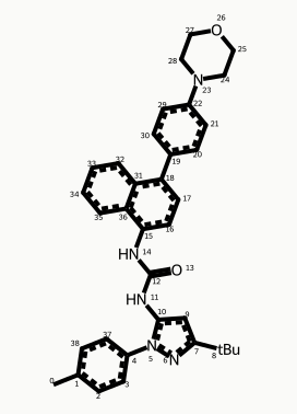 Cc1ccc(-n2nc(C(C)(C)C)cc2NC(=O)Nc2ccc(-c3ccc(N4CCOCC4)cc3)c3ccccc23)cc1